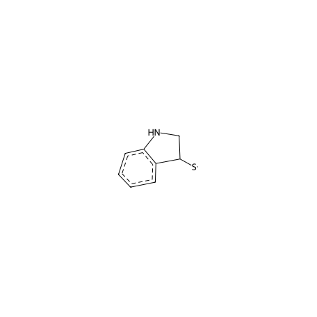 [S]C1CNc2ccccc21